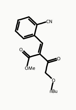 CCCCOCC(=O)C(=Cc1ccccc1C#N)C(=O)OC